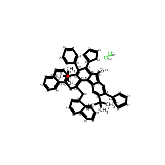 CC(C)(C)c1cc2c(cc1-c1ccccc1)=[C]([Zr+2])c1c(C3=CC=CC3)c(-c3ccccc3)c(C(C)(C)C)c(=C(Cc3cccc4ccccc34)Cc3cccc4ccccc34)c1=2.[Cl-].[Cl-]